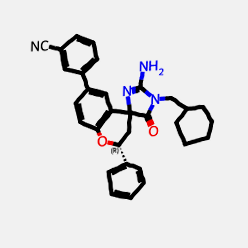 N#Cc1cccc(-c2ccc3c(c2)C2(C[C@H](c4ccccc4)O3)N=C(N)N(CC3CCCCC3)C2=O)c1